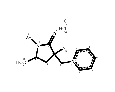 CC(=O)N1C(=O)C(N)(C[n+]2ccccc2)CC1C(=O)O.Cl.[Cl-]